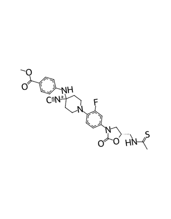 [C-]#[N+]C1(Nc2ccc(C(=O)OC)cc2)CCN(c2ccc(N3C[C@H](CNC(C)=S)OC3=O)cc2F)CC1